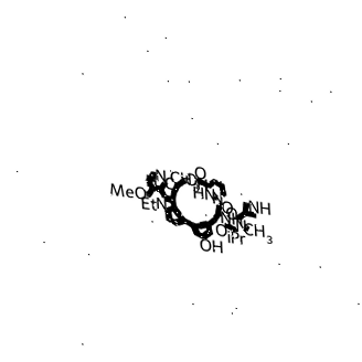 CCn1c(-c2cnccc2COC)c2c3cc(ccc31)-c1cc(O)cc(c1)C[C@H](NC(=O)C(C(C)C)N(C)C(=O)C1CNC1)C(=O)N1CCC[C@H](N1)C(=O)OCC(C)(C)C2